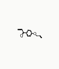 C=CCOc1ccc(C(=O)C=C)cc1